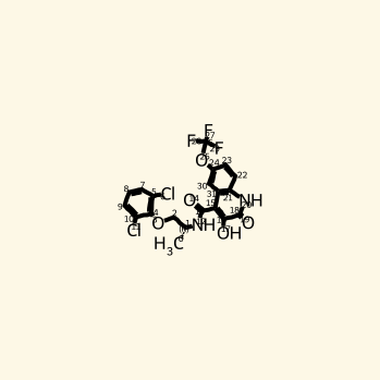 C[C@H](COc1c(Cl)cccc1Cl)NC(=O)c1c(O)c(=O)[nH]c2ccc(OC(F)(F)F)cc12